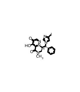 CN1C[C@H]([C@@H](c2ccccc2)n2cnc(I)c2)n2ncc(=O)c(O)c2C1=O